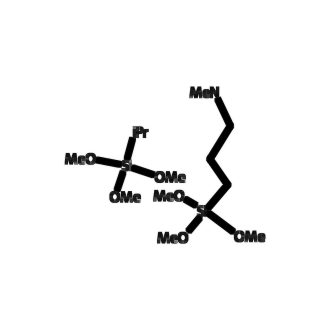 CNCCC[Si](OC)(OC)OC.CO[Si](OC)(OC)C(C)C